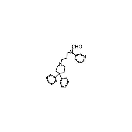 O=CN(CCCN1CCC(c2ccccc2)(c2ccccc2)CC1)c1cccnc1